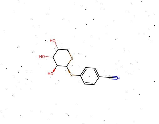 N#Cc1ccc(S[C@@H]2SC[C@@H](O)[C@@H](O)[C@@H]2O)cc1